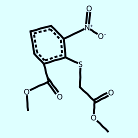 COC(=O)CSc1c(C(=O)OC)cccc1[N+](=O)[O-]